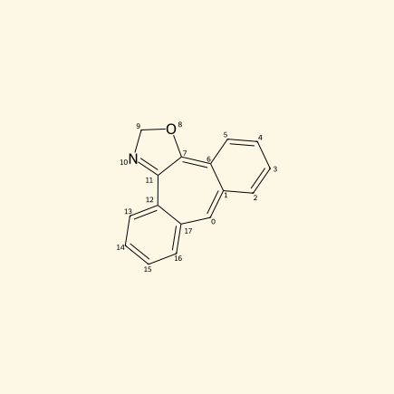 C1=c2ccccc2=C2OCN=C2c2ccccc21